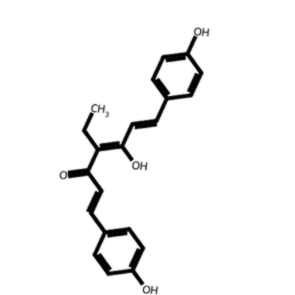 CCC(C(=O)C=Cc1ccc(O)cc1)=C(O)C=Cc1ccc(O)cc1